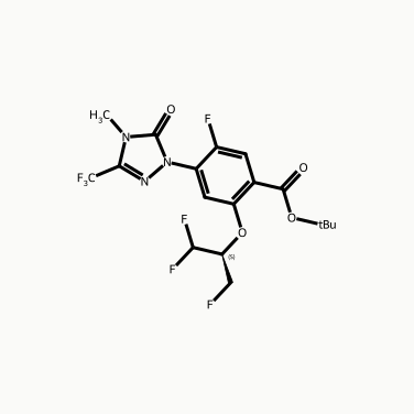 Cn1c(C(F)(F)F)nn(-c2cc(O[C@@H](CF)C(F)F)c(C(=O)OC(C)(C)C)cc2F)c1=O